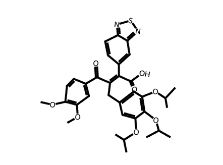 COc1ccc(C(=O)C(Cc2cc(OC(C)C)c(OC(C)C)c(OC(C)C)c2)=C(C(=O)O)c2ccc3nsnc3c2)cc1OC